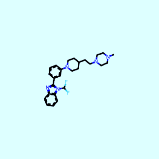 CN1CCN(CCC2CCN(c3cccc(-c4nc5ccccc5n4C(F)F)c3)CC2)CC1